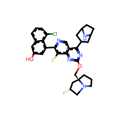 Oc1cc(-c2ncc3c(C4CC5CCC(C4)N5)nc(OC[C@@]45CCCN4C[C@H](F)C5)nc3c2F)c2c(Cl)cccc2c1